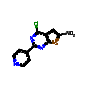 O=[N+]([O-])c1cc2c(Cl)nc(-c3ccncc3)nc2s1